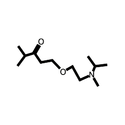 CC(C)C(=O)CCOCCN(C)C(C)C